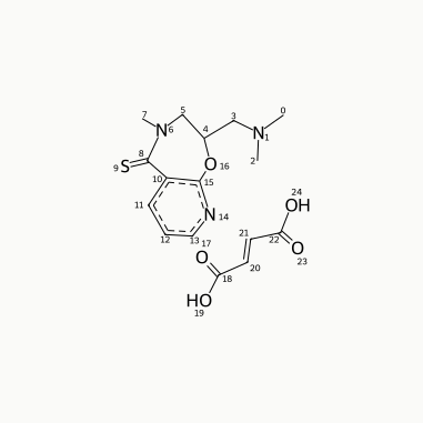 CN(C)CC1CN(C)C(=S)c2cccnc2O1.O=C(O)C=CC(=O)O